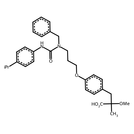 COC(C)(Cc1ccc(OCCCN(Cc2ccccc2)C(=O)Nc2ccc(C(C)C)cc2)cc1)C(=O)O